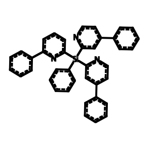 c1ccc(-c2ccnc([Si](c3ccccc3)(c3cc(-c4ccccc4)ccn3)c3cccc(-c4ccccc4)n3)c2)cc1